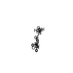 O=C1N[C@H]2[C@H](CS[C@H]2CCCCC(=O)N2CCN(Cn3nc(-c4ccccc4)c4c(Cl)c(-c5ccccc5)nnc43)CC2)N1